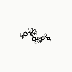 Nc1ncnn2c(-c3ccc(Cl)c(C(=O)N[C@@H]4CN(C(=O)C5CC(F)C5)C[C@@H]4F)c3)cc(CN3CCC(C(F)(F)F)CC3)c12